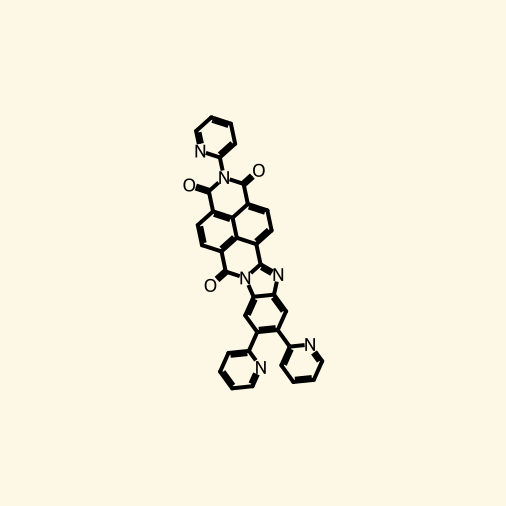 O=C1c2ccc3c(=O)n4c5cc(-c6ccccn6)c(-c6ccccn6)cc5nc4c4ccc(c2c34)C(=O)N1c1ccccn1